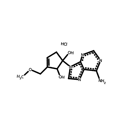 COCC1=CCC(O)(n2cnc3c(N)ncnc32)C1O.Cl